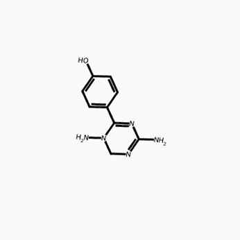 NC1=NCN(N)C(c2ccc(O)cc2)=N1